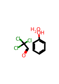 O.O=CC(Cl)(Cl)Cl.Oc1ccccc1